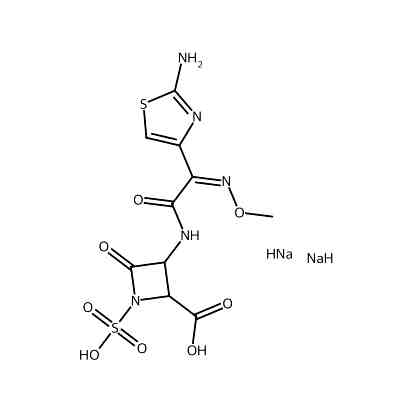 CON=C(C(=O)NC1C(=O)N(S(=O)(=O)O)C1C(=O)O)c1csc(N)n1.[NaH].[NaH]